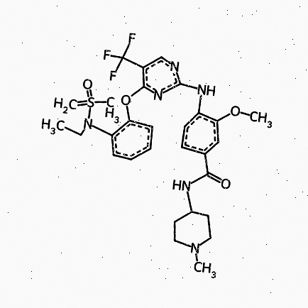 C=S(C)(=O)N(CC)c1ccccc1Oc1nc(Nc2ccc(C(=O)NC3CCN(C)CC3)cc2OC)ncc1C(F)(F)F